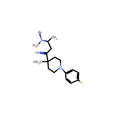 CC(=O)N(C)C(C)CC(=N)C1(C(=O)O)CCN(c2ccc(F)cc2)CC1